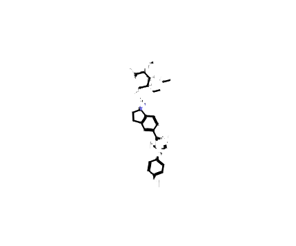 CCO[C@H]1[C@@H](CC)[C@H](O/N=C2\CCc3cc(-c4ncn(-c5ccc(O)cc5)n4)ccc32)O[C@@H](C)[C@@H]1OC